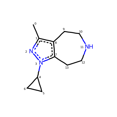 Cc1nn(C2CC2)c2c1CCNCC2